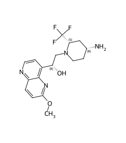 COc1ccc2nccc([C@@H](O)CN3CC[C@@H](N)C[C@H]3C(F)(F)F)c2n1